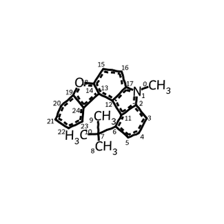 Cn1c2cccc(C(C)(C)C)c2c2c3c(ccc21)oc1ccccc13